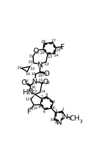 Cn1cc(-c2ccc3c(c2)C(F)C[C@@]32CC(=O)N(CC(=O)N3Cc4cc(F)ccc4OC[C@H]3C3CC3)C(=O)N2)cn1